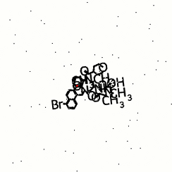 COc1ccc2c(Br)cccc2c1CN1C(=O)[C@@H](NC(=O)[C@H](C)N(C)C(=O)O)[C@H](C)N(C(=O)C2CCOCC2)c2ccccc21